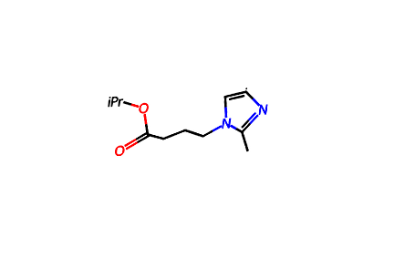 Cc1n[c]cn1CCCC(=O)OC(C)C